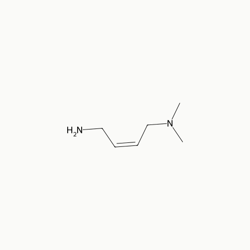 CN(C)C/C=C\CN